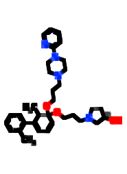 Cc1ccccc1C1=CC=CC(OCCCN2CCN(c3ccccn3)CC2)(OCCCN2CC[C@@H](O)C2)C1C